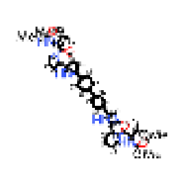 COC(=O)N[C@H](C(=O)N1CCC[C@H]1c1ccc(-c2ccc(-c3ccc(-c4cnc([C@@H]5CCCCN5C(=O)[C@@H](NC(=O)OC)[C@@H](C)OC)[nH]4)cc3)cc2)[nH]1)[C@@H](C)OC